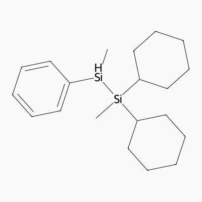 C[SiH](c1ccccc1)[Si](C)(C1CCCCC1)C1CCCCC1